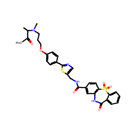 COC(=O)C(C)N(C)CCCOc1ccc(-c2ncc(CNC(=O)c3ccc4c(c3)NC(=O)c3ccccc3S4(=O)=O)s2)cc1